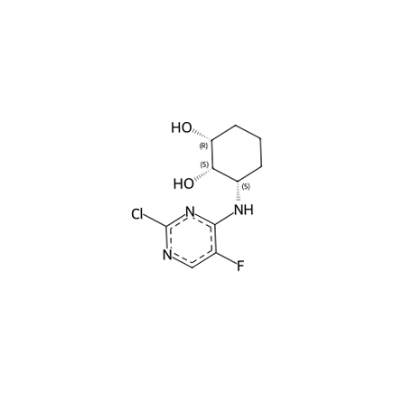 O[C@@H]1[C@H](O)CCC[C@@H]1Nc1nc(Cl)ncc1F